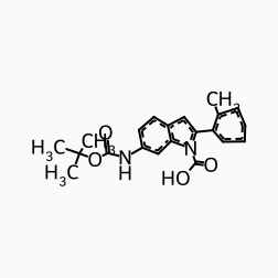 Cc1ccccc1-c1cc2ccc(NC(=O)OC(C)(C)C)cc2n1C(=O)O